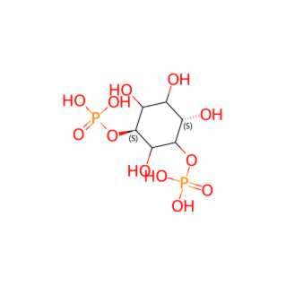 O=P(O)(O)OC1C(O)[C@@H](OP(=O)(O)O)C(O)C(O)[C@@H]1O